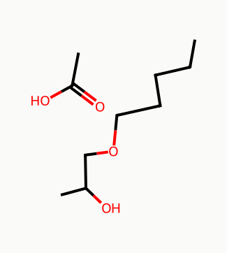 CC(=O)O.CCCCCOCC(C)O